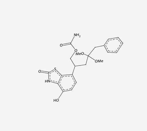 COC(Cc1ccccc1)(CC(COC(N)=O)c1ccc(O)c2[nH]c(=O)sc12)OC